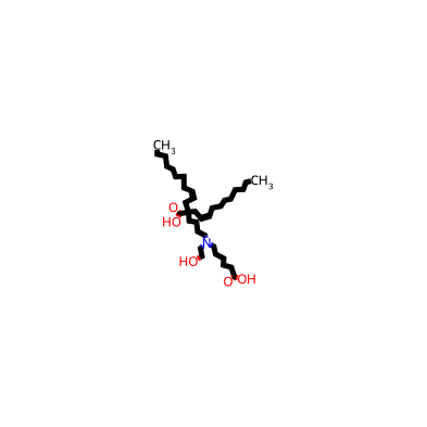 CCCCCCCC/C=C\CC(C/C=C\CCCCCCCC)(CCCCN(CCO)CCCCCC(=O)O)C(=O)O